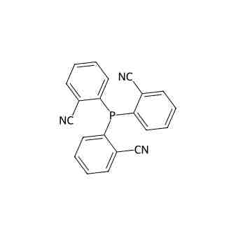 N#Cc1ccccc1P(c1ccccc1C#N)c1ccccc1C#N